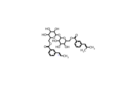 C/C=C/c1cccc(C(=O)OCC2OC(OC3OC(COC(=O)c4cccc(C=C(C)C)c4)C(O)C(O)C3O)C(O)C(O)C2O)c1